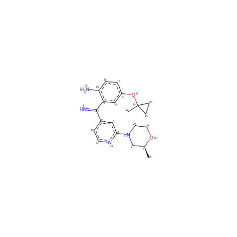 C[C@H]1CN(c2cc(C(=N)c3cc(OC4(C)CC4)ccc3N)ccn2)CCO1